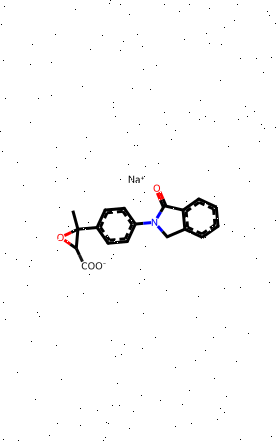 CC1(c2ccc(N3Cc4ccccc4C3=O)cc2)OC1C(=O)[O-].[Na+]